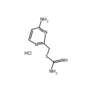 Cl.N=C(N)SCc1nccc(N)n1